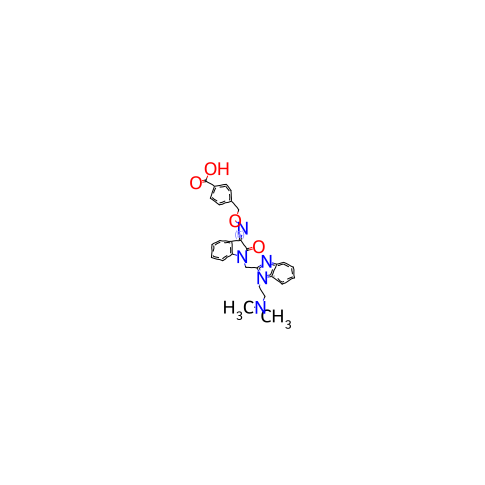 CN(C)CCn1c(CN2C(=O)/C(=N/OCc3ccc(C(=O)O)cc3)c3ccccc32)nc2ccccc21